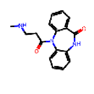 CNCCC(=O)N1c2ccccc2NC(=O)c2ccccc21